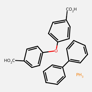 O=C(O)c1ccc(Oc2ccc(C(=O)O)cc2)cc1.P.c1ccc(-c2ccccc2)cc1